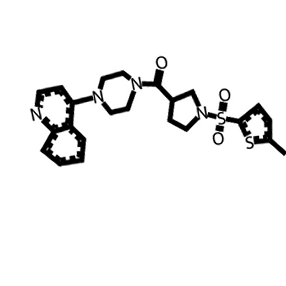 Cc1ccc(S(=O)(=O)N2CCC(C(=O)N3CCN(c4ccnc5ccccc45)CC3)C2)s1